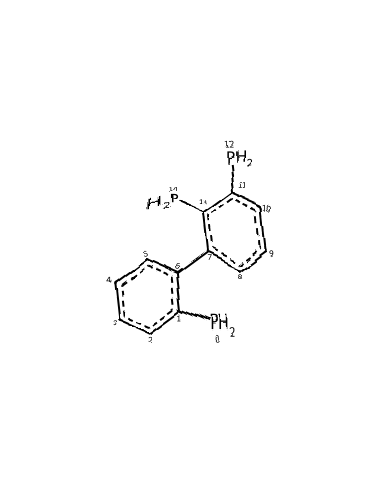 Pc1ccccc1-c1cccc(P)c1P